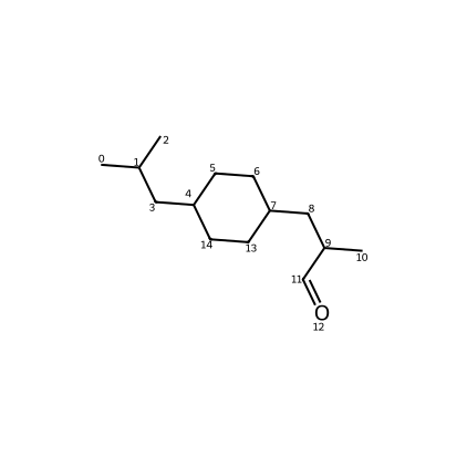 CC(C)CC1CCC(CC(C)C=O)CC1